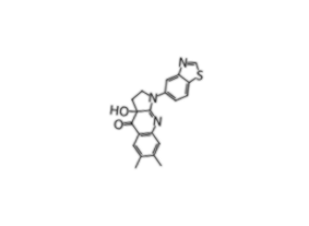 Cc1cc2c(cc1C)C(=O)C1(O)CCN(c3ccc4scnc4c3)C1=N2